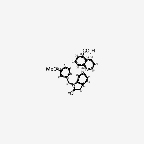 COc1cccc(CN2C(=O)Cc3ccccc32)c1.O=C(O)c1cccc2ncccc12